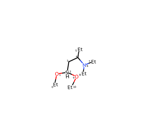 CCO[SiH](CC(CC)N(CC)CC)OCC